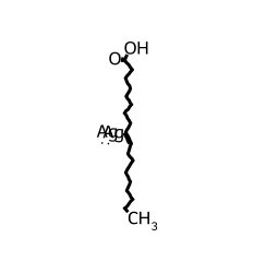 CCCCCCCCC=CCCCCCCCC(=O)O.[Ag].[Ag]